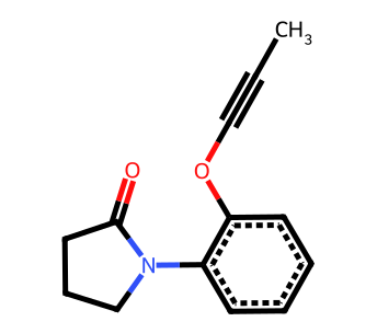 CC#COc1ccccc1N1CCCC1=O